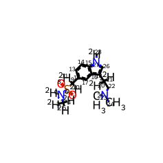 [2H]N(C([2H])([2H])[2H])S(=O)(=O)C([2H])([2H])c1ccc2c(c1)c(C([2H])([2H])CN(C)C)cn2[2H]